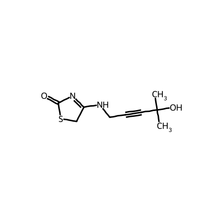 CC(C)(O)C#CCNC1=NC(=O)SC1